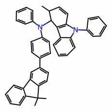 CC1C=Cc2c(c3ccccc3n2-c2ccccc2)C1N(c1ccccc1)c1ccc(-c2ccc3c(c2)-c2ccccc2C3(C)C)cc1